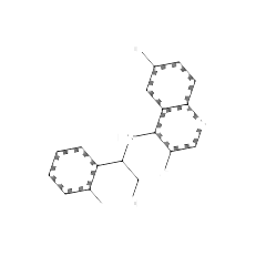 OCC(Nc1c(Cl)cnc2ccc(Br)cc12)c1ccccc1F